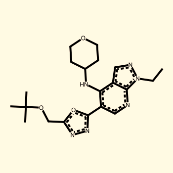 CCn1ncc2c(NC3CCOCC3)c(-c3nnc(COC(C)(C)C)o3)cnc21